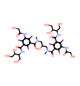 CN(CC(O)CN(C)C(=O)c1c(I)c(NC(=O)CO)c(I)c(C(=O)NC(CO)C(O)CO)c1I)C(=O)c1c(I)c(NC(=O)CO)c(I)c(C(=O)NC(CO)C(O)CO)c1I